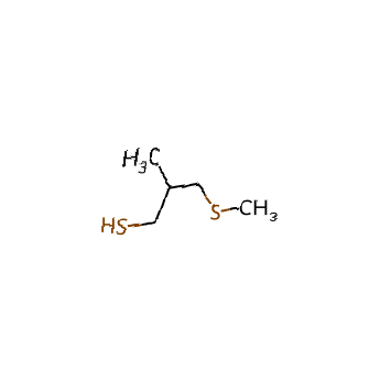 CSCC(C)CS